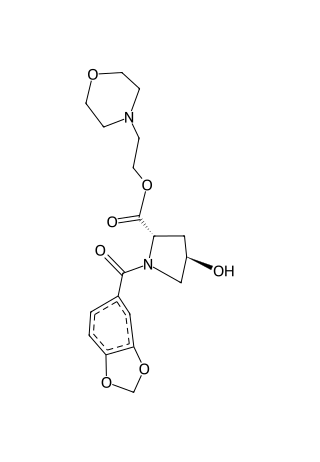 O=C(OCCN1CCOCC1)[C@@H]1C[C@@H](O)CN1C(=O)c1ccc2c(c1)OCO2